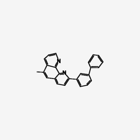 Cc1cc2ccc(-c3cccc(-c4ccccc4)c3)nc2c2ncccc12